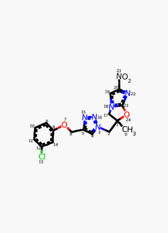 CC1(Cn2cc(COc3cccc(Cl)c3)nn2)Cn2cc([N+](=O)[O-])nc2O1